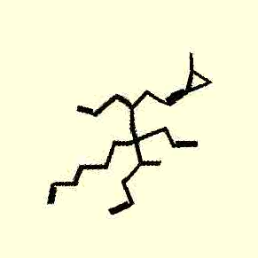 C=CCCCCC(CC=C)(C(C)CC=C)C(CC=C)CC=C1CC1C